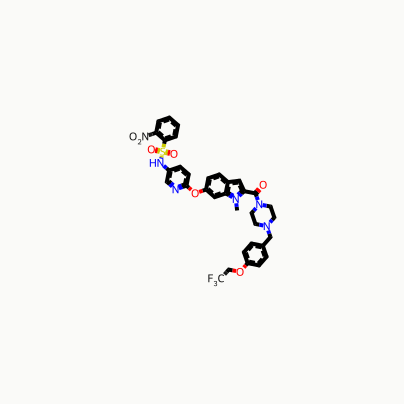 Cn1c(C(=O)N2CCN(Cc3ccc(OCC(F)(F)F)cc3)CC2)cc2ccc(Oc3ccc(NS(=O)(=O)c4ccccc4[N+](=O)[O-])cn3)cc21